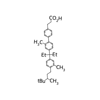 CCC(CC)(c1ccc(CCC(C)C(C)(C)C)c(C)c1)c1ccc(-c2ccc(CCC(=O)O)cc2)c(C)c1